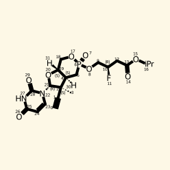 C#C[C@]1(C)[C@@H]2CP(=O)(OC[C@H](F)CC(=O)OC(C)C)OC[C@H]2O[C@H]1n1ccc(=O)[nH]c1=O